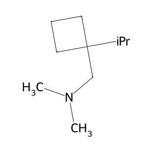 CC(C)C1(CN(C)C)CCC1